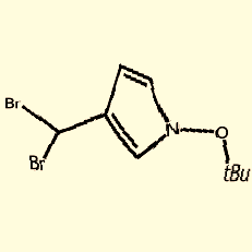 CC(C)(C)On1ccc(C(Br)Br)c1